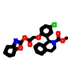 COC(=O)N1CCc2ccccc2[C@H]1c1cc(Cl)ccc1OCC(=O)Oc1nc2ccccc2o1